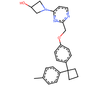 Cc1ccc(C2(c3ccc(OCc4nccc(N5CC(O)C5)n4)cc3)CCC2)cc1